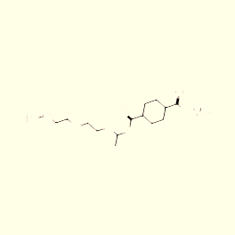 COC(=O)C1CCC(C(=O)OC(C)OCCOCCOC(C)C)CC1